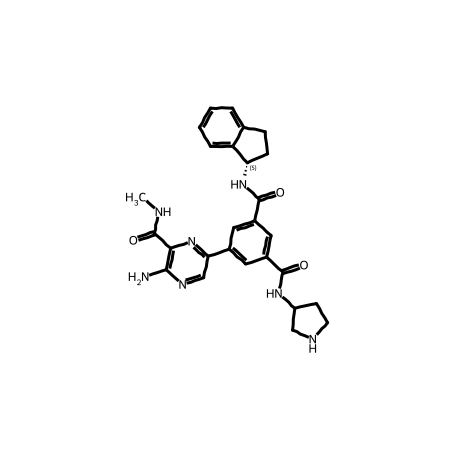 CNC(=O)c1nc(-c2cc(C(=O)NC3CCNC3)cc(C(=O)N[C@H]3CCc4ccccc43)c2)cnc1N